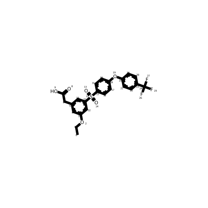 CCOc1cc(CC(=O)O)cc(S(=O)(=O)c2ccc(Oc3ccc(C(F)(F)F)cc3)cc2)c1